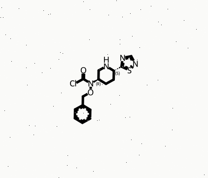 O=C(Cl)N(OCc1ccccc1)[C@@H]1CC[C@@H](c2ncns2)NC1